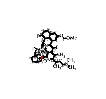 COCOc1cc(-c2ncc3c(N4CC5CCC(C4)N5C(=O)OC(C)(C)C)nc(C(C)CCN(C)C)c(C)c3c2F)c2c(C#C[Si](C(C)C)(C(C)C)C(C)C)c(F)ccc2c1